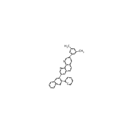 Cc1cc(C)cc(-c2cnc3c(ccc4cc(-c5cc6ccccc6cc5-c5ccccc5)cnc43)c2)c1